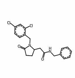 O=C(CC1CCC(=O)N1Cc1ccc(Cl)cc1Cl)NCc1ccccc1